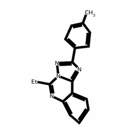 CCc1nc2ccccc2c2nc(-c3ccc(C)cc3)nn12